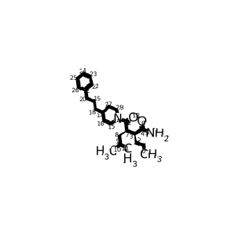 CCC[C@H](C(N)=O)[C@@H](CC(C)C)C(=O)N1CCC(CCCc2ccccc2)CC1